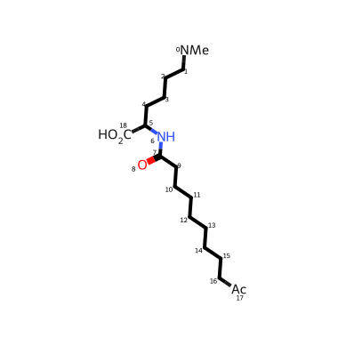 CNCCCCC(NC(=O)CCCCCCCCC(C)=O)C(=O)O